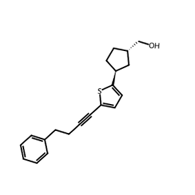 OC[C@H]1CC[C@H](c2ccc(C#CCCc3ccccc3)s2)C1